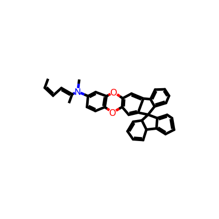 C/C=C\C=C(/C)N(C)c1ccc2c(c1)Oc1cc3c(cc1O2)C1(c2ccccc2-3)c2ccccc2C2C=CC=CC21